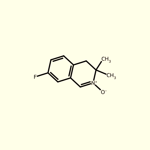 CC1(C)Cc2ccc(F)cc2C=[N+]1[O-]